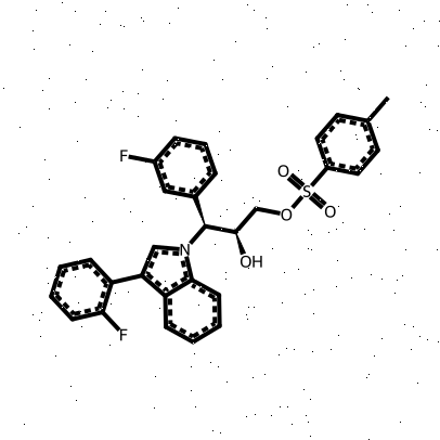 Cc1ccc(S(=O)(=O)OC[C@@H](O)[C@H](c2cccc(F)c2)n2cc(-c3ccccc3F)c3ccccc32)cc1